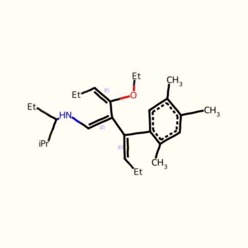 CC\C=C(OCC)/C(=C\NC(CC)C(C)C)C(=C/CC)/c1cc(C)c(C)cc1C